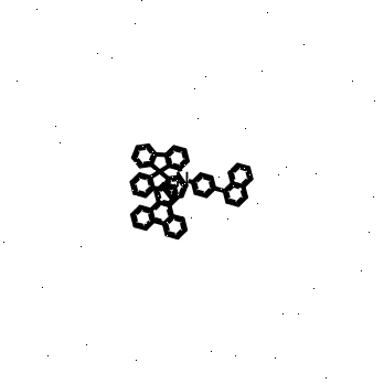 c1ccc2c(c1)-c1ccccc1C21c2ccccc2-c2cccc(N(c3ccc(-c4cccc5ccccc45)cc3)c3ccc4c5ccccc5c5ccccc5c4c3)c21